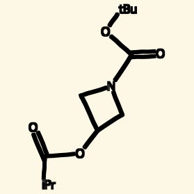 CC(C)C(=O)OC1CN(C(=O)OC(C)(C)C)C1